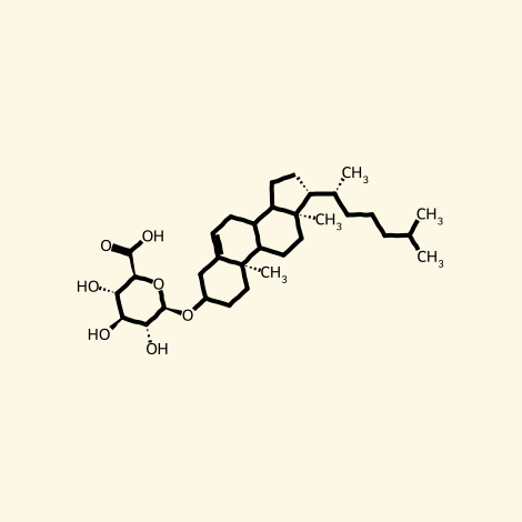 CC(C)CCC[C@@H](C)[C@H]1CCC2C3CC=C4CC(O[C@@H]5O[C@H](C(=O)O)[C@@H](O)[C@H](O)[C@H]5O)CC[C@]4(C)C3CC[C@@]21C